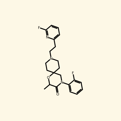 CC1OC2(CCN(CCc3cccc(F)n3)CC2)CN(c2ccccc2F)C1=O